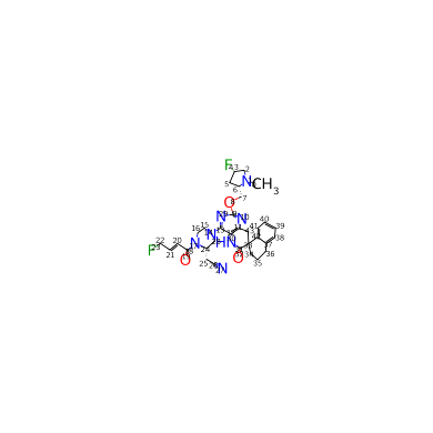 CN1C[C@@H](F)C[C@H]1COc1nc2c(c(N3CCN(C(=O)/C=C/CF)[C@@H](CC#N)C3)n1)NC(=O)C1(CCCc3ccccc31)C2